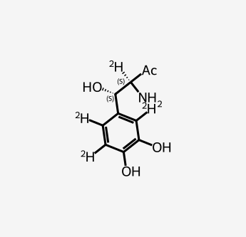 [2H]c1c([2H])c([C@H](O)[C@]([2H])(N)C(C)=O)c([2H])c(O)c1O